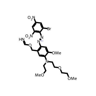 COCCOCCN(CCOC)c1cc(COC=N)c(/N=N/c2c(Br)cc([N+](=O)[O-])cc2[N+](=O)[O-])cc1OC